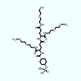 CC(C)(C)P(=O)(S)O[C@H]1CC[C@H](C(=O)NC(CCC(=O)NC(CCC(=O)NCCOCCO)C(=O)NCCOCCON)C(=O)NCCOCCON)CC1